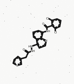 O=C(Cc1cccnc1)NNc1ccnc2c(NC(=O)c3c(Cl)cccc3Cl)cccc12